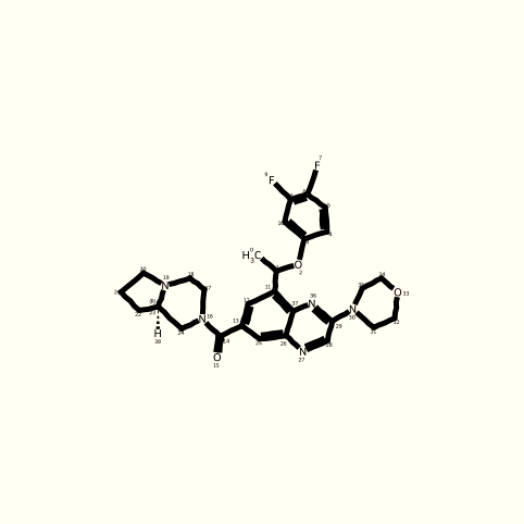 CC(Oc1ccc(F)c(F)c1)c1cc(C(=O)N2CCN3CCC[C@@H]3C2)cc2ncc(N3CCOCC3)nc12